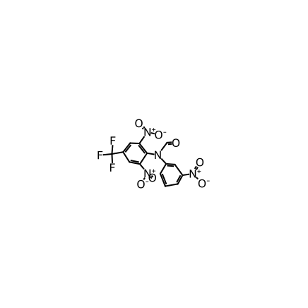 O=CN(c1cccc([N+](=O)[O-])c1)c1c([N+](=O)[O-])cc(C(F)(F)F)cc1[N+](=O)[O-]